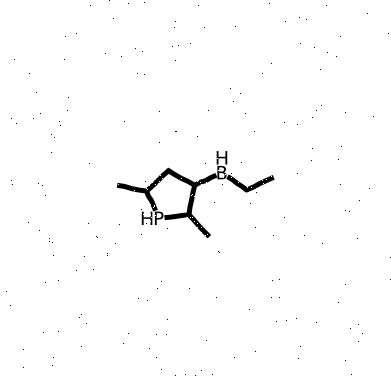 CCBC1CC(C)PC1C